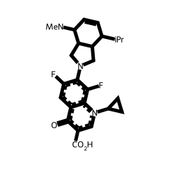 CNC1C=CC(C(C)C)C2CN(c3c(F)cc4c(=O)c(C(=O)O)cn(C5CC5)c4c3F)CC12